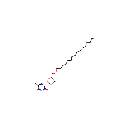 CCCCCCCCCCCCCCCC(=O)OC[C@H]1O[C@@H](n2cc(C)c(=O)[nH]c2=O)CC1O